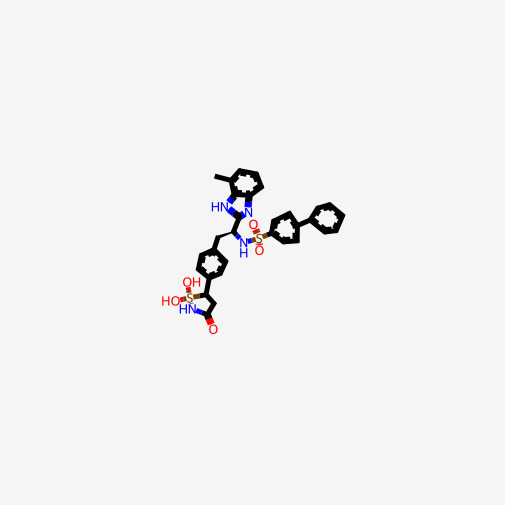 Cc1cccc2nc([C@H](Cc3ccc(C4CC(=O)NS4(O)O)cc3)NS(=O)(=O)c3ccc(-c4ccccc4)cc3)[nH]c12